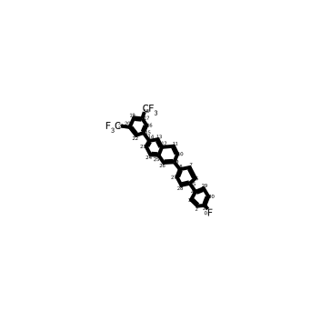 Fc1ccc(-c2ccc(-c3ccc4cc(-c5cc(C(F)(F)F)cc(C(F)(F)F)c5)ccc4c3)cc2)cc1